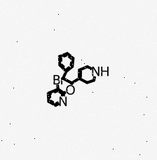 Brc1cccnc1OC(Cc1ccccc1)C1=CCNCC1